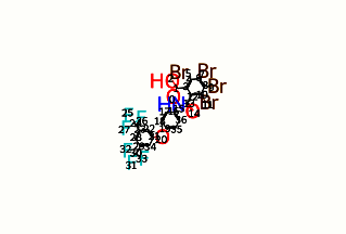 O=C(O)c1c(Br)c(Br)c(Br)c(Br)c1C(=O)Nc1ccc(Oc2cc(C(F)(F)F)cc(C(F)(F)F)c2)cc1